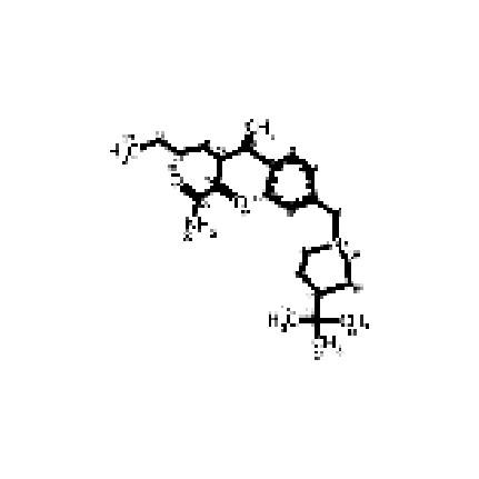 C=C(c1ccc(CN2CCC(C(C)(C)C)CC2)cc1)C(CCCC)C(=O)C(N)=O